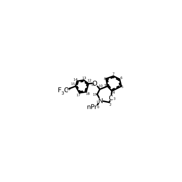 CCCN1CCc2ccccc2C(Oc2ccc(C(F)(F)F)cc2)C1